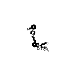 CNC(=O)C(CCC=O)N1Cc2c(CCCCN3CCN(c4ccccc4C#N)CC3)cccc2C1=O